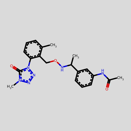 CC(=O)Nc1cccc(C(C)NOCc2c(C)cccc2-n2nnn(C)c2=O)c1